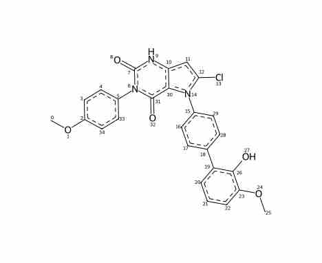 COc1ccc(-n2c(=O)[nH]c3cc(Cl)n(-c4ccc(-c5cccc(OC)c5O)cc4)c3c2=O)cc1